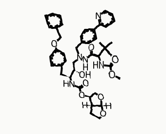 COC(=O)NC(C(=O)NN(Cc1ccc(-c2ccccn2)cc1)C[C@H](O)[C@H](Cc1ccc(OCc2ccccc2)cc1)NC(=O)O[C@H]1CO[C@H]2OCC[C@H]21)C(C)(C)C